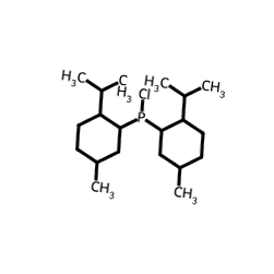 CC1CCC(C(C)C)C(P(Cl)C2CC(C)CCC2C(C)C)C1